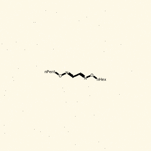 CCCCCCON=C/[C]=N/OCCCCC